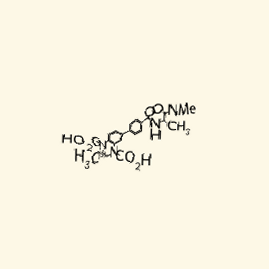 CNC(=O)C(C)NC(=O)c1ccc(-c2ccc3c(c2)N(C(=O)O)C[C@H](C)N3C(=O)O)cc1